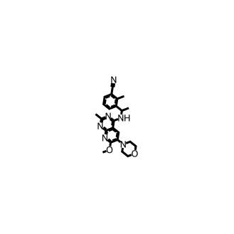 COc1nc2nc(C)nc(NC(C)c3cccc(C#N)c3C)c2cc1N1CCOCC1